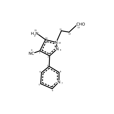 N#Cc1c(-c2cccnc2)nn(CCC=O)c1N